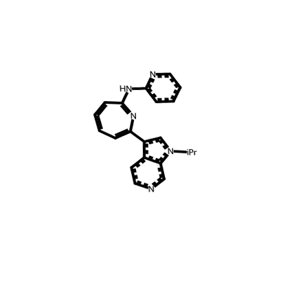 CC(C)n1cc(C2=CC=C=CC(Nc3ccccn3)=N2)c2ccncc21